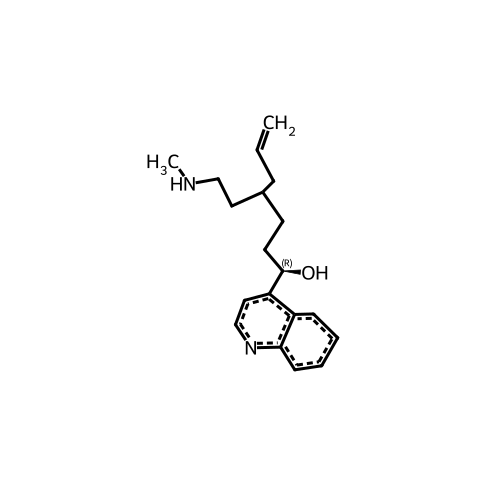 C=CCC(CCNC)CC[C@@H](O)c1ccnc2ccccc12